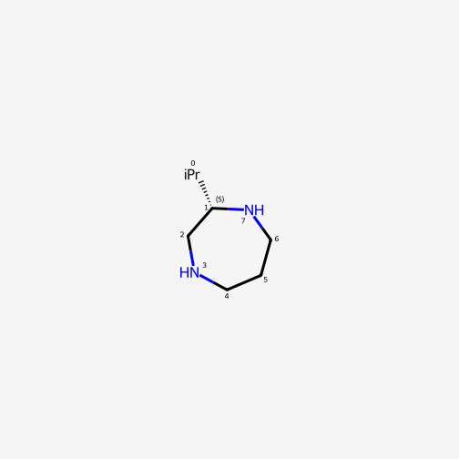 CC(C)[C@H]1CNCCCN1